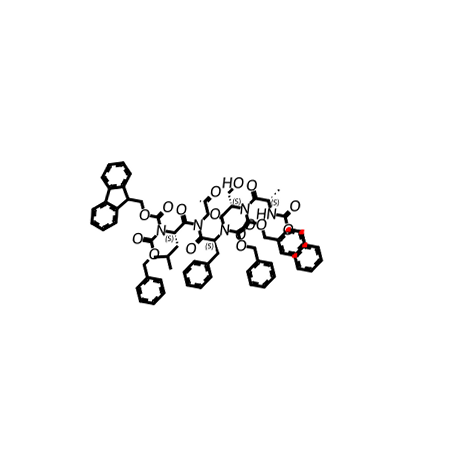 CC(C)C[C@@H](C(=O)N(C[C]=O)C(=O)[C@H](Cc1ccccc1)N(C(=O)OCc1ccccc1)C(=O)[C@H](CO)N(C(=O)OCc1ccccc1)C(=O)[C@H](C)NC(=O)OCc1ccccc1)N(C(=O)OCc1ccccc1)C(=O)OCC1c2ccccc2-c2ccccc21